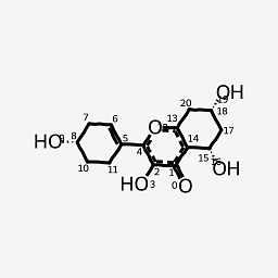 O=c1c(O)c(C2=CC[C@@H](O)CC2)oc2c1[C@@H](O)C[C@@H](O)C2